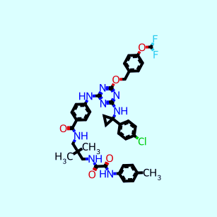 Cc1ccc(NC(=O)C(=O)NCC(C)(C)CNC(=O)c2ccc(Nc3nc(NC4(c5ccc(Cl)cc5)CC4)nc(OCc4ccc(OC(F)F)cc4)n3)cc2)cc1